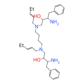 CCC=CCN(CCCCN(CC=CCC)CC(O)C(N)Cc1ccccc1)CC(O)C(N)Cc1ccccc1